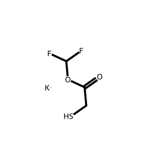 O=C(CS)OC(F)F.[K]